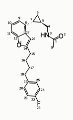 CC(=O)NC[C@@H]1C[C@H]1c1cccc2oc(CCCCc3ccc(F)cc3)cc12